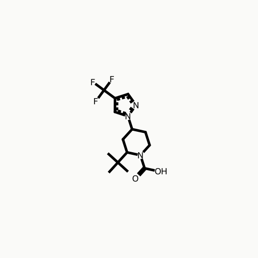 CC(C)(C)C1CC(n2cc(C(F)(F)F)cn2)CCN1C(=O)O